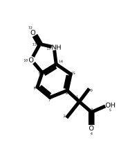 CC(C)(C(=O)O)c1ccc2oc(=O)[nH]c2c1